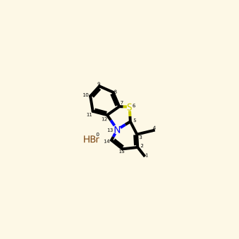 Br.CC1=C(C)C2Sc3ccccc3N2C=C1